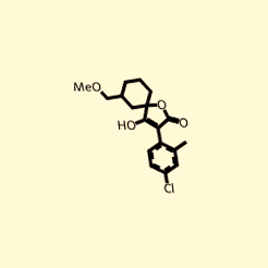 COCC1CCCC2(C1)OC(=O)C(c1ccc(Cl)cc1C)=C2O